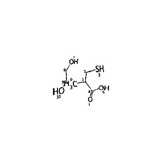 CC(CS)C(=O)O.OCCO